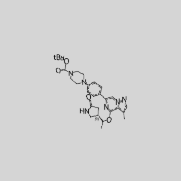 Cc1cnn2cc(-c3ccc(N4CCN(C(=O)OC(C)(C)C)CC4)cc3)nc(OC(C)[C@H]3CNC(=O)C3)c12